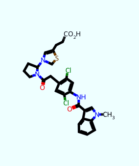 Cn1cc(C(=O)Nc2cc(Cl)c(CC(=O)N3CCCC3N3C=C(CCC(=O)O)SC3)cc2Cl)c2ccccc21